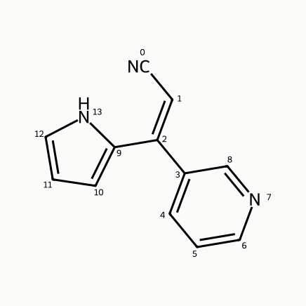 N#CC=C(c1cccnc1)c1ccc[nH]1